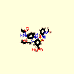 CC(=O)Nc1ccc(Nc2c(NCc3ccco3)cc(C(=O)O)cc2S(=O)(=O)Nc2ccccc2NC(C)=O)cc1